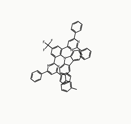 Cc1cccc(-c2ccc3c(c2)c2ccccc2n3-c2c(-c3cc(-c4ccccc4)nc(-c4ccccc4)n3)cc(C(F)(F)F)cc2-c2nc(-c3ccccc3)cc(-c3ccccc3)n2)c1